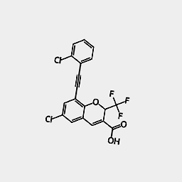 O=C(O)C1=Cc2cc(Cl)cc(C#Cc3ccccc3Cl)c2OC1C(F)(F)F